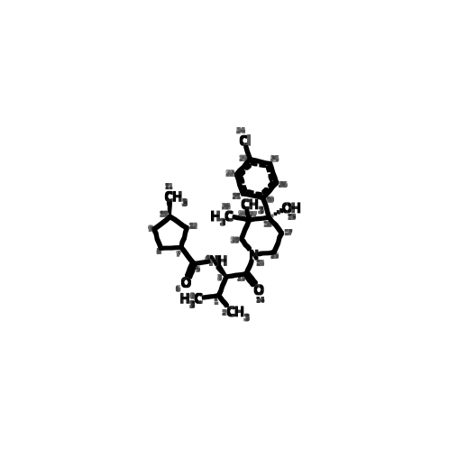 CC(C)[C@@H](NC(=O)C1CC[C@@H](C)C1)C(=O)N1CC[C@](O)(c2ccc(Cl)cc2)C(C)(C)C1